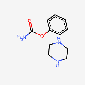 C1CNCCN1.NC(=O)Oc1ccccc1